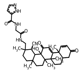 CC1(CNC(=O)CNC(=O)c2ccn[nH]2)CCC2(C)CCC3(C)C4(C)CCC5CC(=O)C=CC5(C)C4=CC(=O)C3(O)C2C1C#N